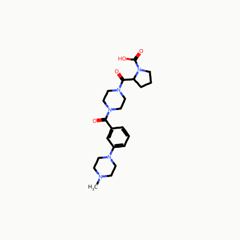 CN1CCN(c2cccc(C(=O)N3CCN(C(=O)C4CCCN4C(=O)O)CC3)c2)CC1